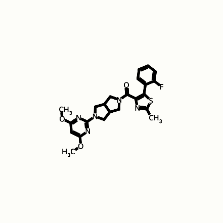 COc1cc(OC)nc(N2CC3CN(C(=O)c4nc(C)sc4-c4ccccc4F)CC3C2)n1